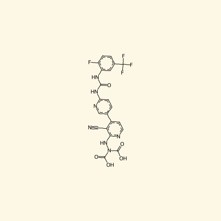 N#Cc1c(-c2ccc(NC(=O)Nc3cc(C(F)(F)F)ccc3F)nc2)ccnc1NN(C(=O)O)C(=O)O